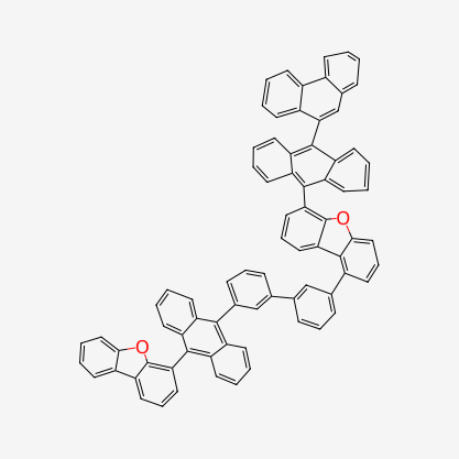 c1cc(-c2cccc(-c3cccc4oc5c(-c6c7ccccc7c(-c7cc8ccccc8c8ccccc78)c7ccccc67)cccc5c34)c2)cc(-c2c3ccccc3c(-c3cccc4c3oc3ccccc34)c3ccccc23)c1